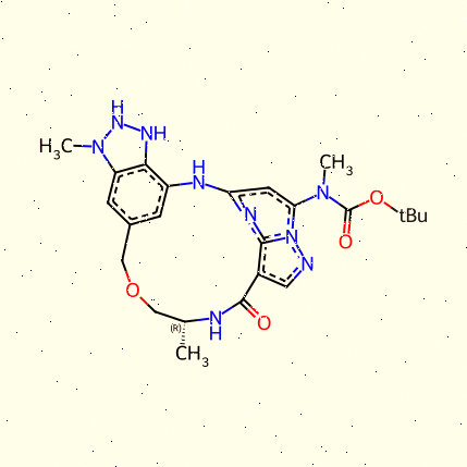 C[C@@H]1COCc2cc(c3c(c2)N(C)NN3)Nc2cc(N(C)C(=O)OC(C)(C)C)n3ncc(c3n2)C(=O)N1